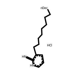 CCCCCCCCCCCCCCCCCCc1ccc[nH]c1=N.Cl